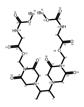 CC(C(C)N1CC(=O)N(COC(=O)CNC(=O)OC(C)(C)C)C(=O)C1)N1CC(=O)N(COC(=O)CNC(=O)OC(C)(C)C)C(=O)C1